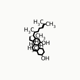 CC(C)=CCC[C@@H](C)[C@H]1CC[C@H]2[C@@H]3CC=C4C[C@H](O)CC[C@]4(C)[C@H]3C(O)C[C@]12C